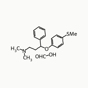 CSc1ccc(OC(CCN(C)C)c2ccccc2)cc1.O=CO